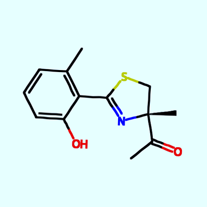 CC(=O)[C@@]1(C)CSC(c2c(C)cccc2O)=N1